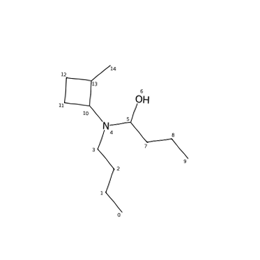 CCCCN(C(O)CCC)C1CCC1C